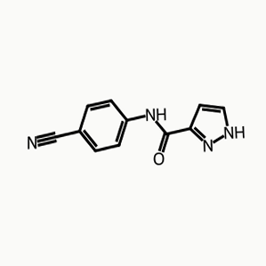 N#Cc1ccc(NC(=O)c2cc[nH]n2)cc1